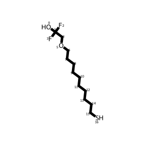 OC(F)(F)COCCCCCCCCCCS